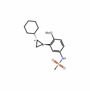 COc1ccc(NS(C)(=O)=O)cc1[C@H]1C[C@@H]1C1CCCCC1